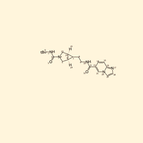 CC(C)(C)NC(=O)N1C[C@@H]2C(CCNC(=O)c3ccc4nccn4c3)[C@@H]2C1